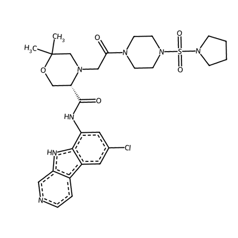 CC1(C)CN(CC(=O)N2CCN(S(=O)(=O)N3CCCC3)CC2)[C@H](C(=O)Nc2cc(Cl)cc3c2[nH]c2cnccc23)CO1